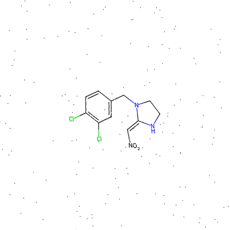 O=[N+]([O-])/C=C1\NCCN1Cc1ccc(Cl)c(Cl)c1